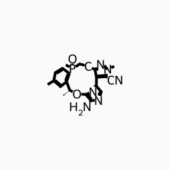 Cc1ccc2c(c1)[C@@H](C)Oc1nc(cnc1N)-c1c(nn(C)c1C#N)CCP2(C)=O